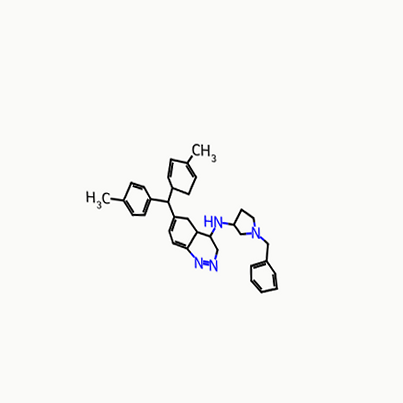 CC1=CCC(C(C2=CC=C3N=NCC(NC4CCN(Cc5ccccc5)C4)C3C2)c2ccc(C)cc2)C=C1